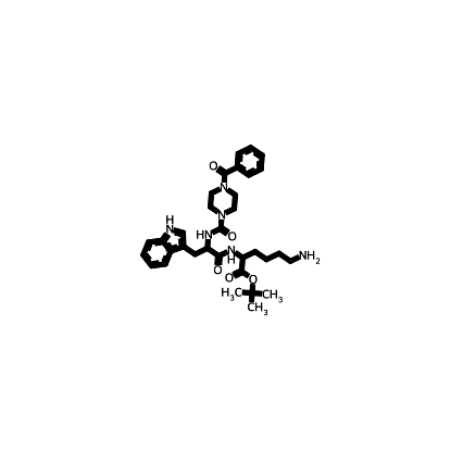 CC(C)(C)OC(=O)C(CCCCN)NC(=O)C(Cc1c[nH]c2ccccc12)NC(=O)N1CCN(C(=O)c2ccccc2)CC1